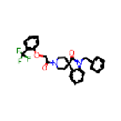 O=C(COc1ccccc1C(F)(F)F)N1CCC2(CC1)C(=O)N(Cc1ccccc1)c1ccccc12